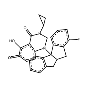 O=C1c2c(O)c(=O)ccn2N(C23c4ccccc4CC2Cc2c(F)cccc23)CN1C1CC1